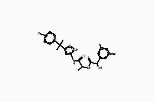 CC(NC(=O)C(O)c1cc(F)cc(F)c1)C(=O)Nc1cc(C(C)(C)c2ccc(F)cc2)n[nH]1